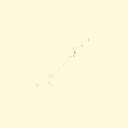 CC(=O)N=CCOCC=NC(C)=O